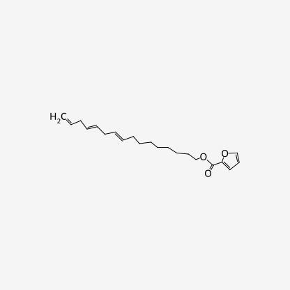 C=CCC=CCC=CCCCCCCCCOC(=O)c1ccco1